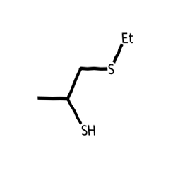 CCSCC(C)S